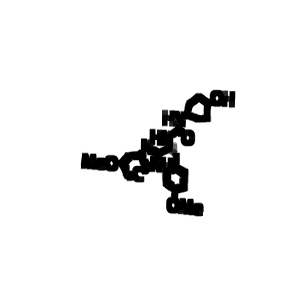 COc1ccc(C[C@@H](NC(=O)NC2CCC(O)CC2)c2nc3cc(OC)ccc3[nH]2)cc1